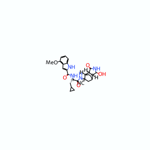 COc1cccc2[nH]c(C(=O)N[C@@H](CC3CC3)C(=O)N[C@@]3(C#N)CC4CC[C@H]3[C@@H]3C(=O)NC(O)[C@H]43)cc12